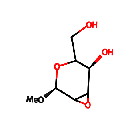 CO[C@H]1OC(CO)[C@@H](O)C2OC21